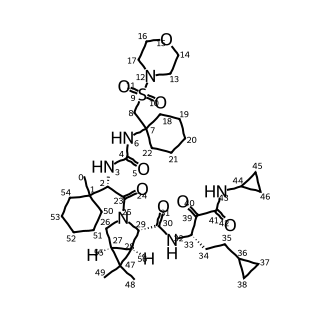 CC1([C@H](NC(=O)NC2(CS(=O)(=O)N3CCOCC3)CCCCC2)C(=O)N2C[C@H]3[C@@H]([C@H]2C(=O)N[C@@H](CCC2CC2)C(=O)C(=O)NC2CC2)C3(C)C)CCCCC1